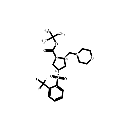 CC(C)(C)OC(=O)N1C[C@@H](S(=O)(=O)c2ccccc2C(F)(F)F)C[C@@H]1CN1CCOCC1